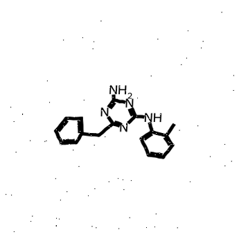 Cc1ccccc1Nc1nc(N)nc(Cc2ccccc2)n1